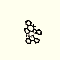 CC1(C)c2ccccc2C2=C(CCC=C2)c2c1c1ccccc1n2C1Nc2ccccc2-c2ccccc21